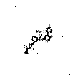 COc1cc(F)ccc1-c1cc(NC(=O)[C@H]2CCCC(/C=N/C(=O)C(=O)C3CC3)C2)ncc1F